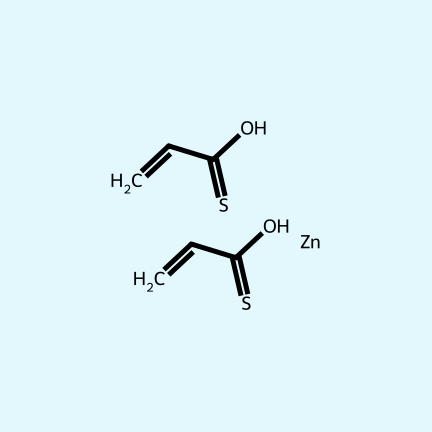 C=CC(O)=S.C=CC(O)=S.[Zn]